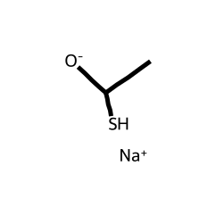 CC([O-])S.[Na+]